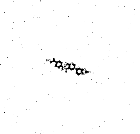 CC(CO)c1ccc(S(=O)(=O)Nc2cc(-c3ccc4nc(N)sc4c3)cnc2Cl)cc1